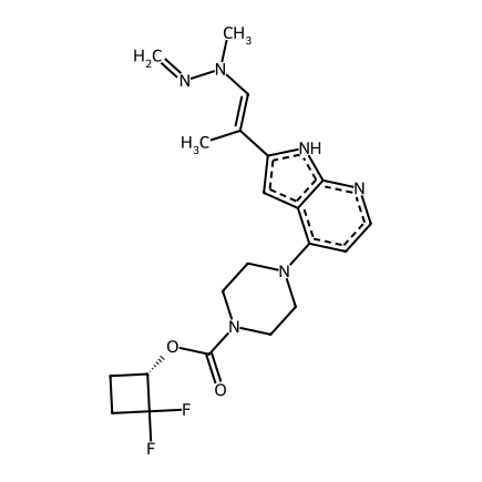 C=NN(C)/C=C(\C)c1cc2c(N3CCN(C(=O)O[C@H]4CCC4(F)F)CC3)ccnc2[nH]1